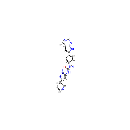 Cc1ncnc2[nH]c(-c3ccc(NC(=O)Nc4cc(-c5cccnc5)n[nH]4)cc3)cc12